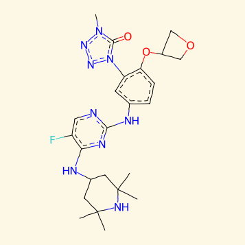 Cn1nnn(-c2cc(Nc3ncc(F)c(NC4CC(C)(C)NC(C)(C)C4)n3)ccc2OC2COC2)c1=O